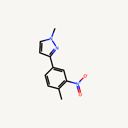 Cc1ccc(-c2ccn(C)n2)cc1[N+](=O)[O-]